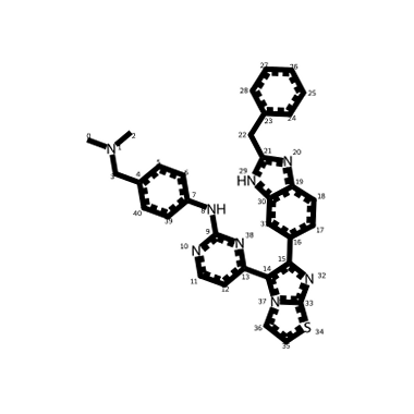 CN(C)Cc1ccc(Nc2nccc(-c3c(-c4ccc5nc(Cc6ccccc6)[nH]c5c4)nc4sccn34)n2)cc1